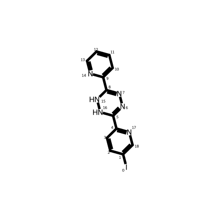 Ic1ccc(C2=NN=C(c3ccccn3)NN2)nc1